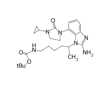 CC(CCCCNC(=O)OC(C)(C)C)n1c(N)nc2cccc(N3CCN(C4CC4)C3=O)c21